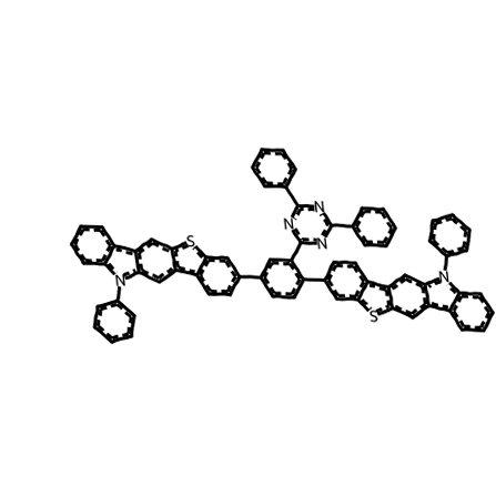 c1ccc(-c2nc(-c3ccccc3)nc(-c3cc(-c4ccc5c(c4)sc4cc6c7ccccc7n(-c7ccccc7)c6cc45)ccc3-c3ccc4c(c3)sc3cc5c6ccccc6n(-c6ccccc6)c5cc34)n2)cc1